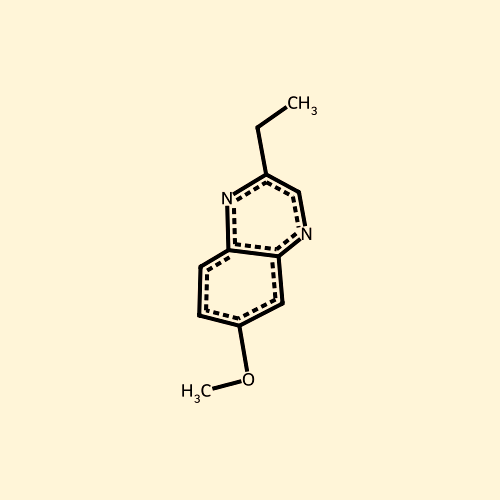 CCc1cnc2cc(OC)ccc2n1